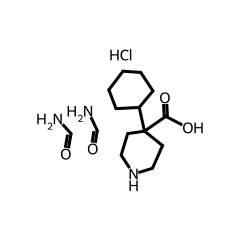 Cl.NC=O.NC=O.O=C(O)C1(C2CCCCC2)CCNCC1